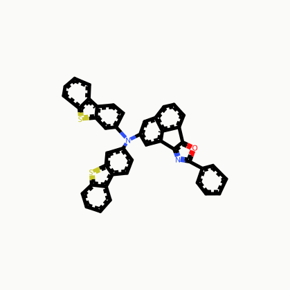 c1ccc(-c2nc3c(o2)-c2cccc4cc(N(c5ccc6c(c5)sc5ccccc56)c5ccc6c(c5)sc5ccccc56)cc-3c24)cc1